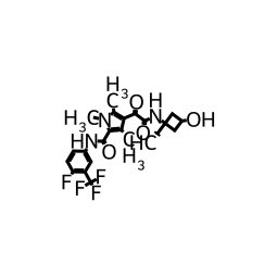 C#CC1(NC(=O)C(=O)c2c(C)c(C(=O)Nc3ccc(F)c(C(F)(F)F)c3)n(C)c2C)CC(O)C1